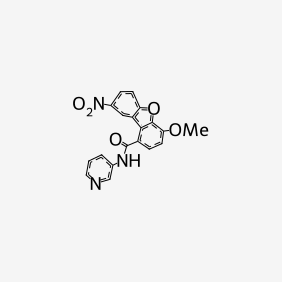 COc1ccc(C(=O)Nc2cccnc2)c2c1oc1ccc([N+](=O)[O-])cc12